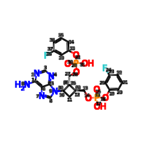 Nc1ncnc2c1ncn2[C@@H]1C[C@H](COP(=O)(O)Oc2cccc(F)c2)[C@H]1COP(=O)(O)Oc1cccc(F)c1